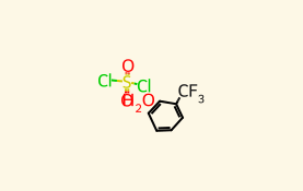 FC(F)(F)c1ccccc1.O.O=S(=O)(Cl)Cl